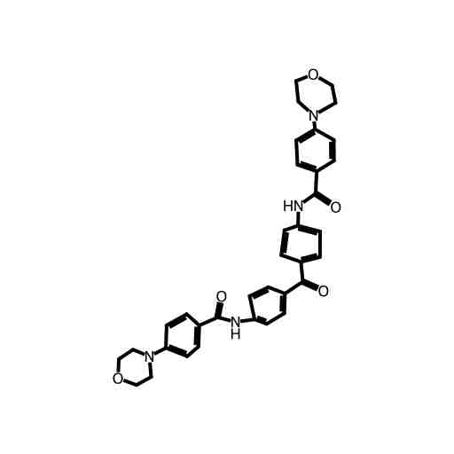 O=C(Nc1ccc(C(=O)c2ccc(NC(=O)c3ccc(N4CCOCC4)cc3)cc2)cc1)c1ccc(N2CCOCC2)cc1